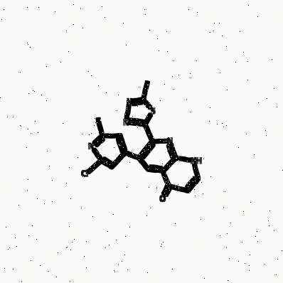 Cc1cc(-c2cc3c(=O)cc[nH]c3nc2-c2nnc(C)s2)cc(Cl)n1